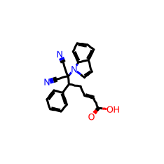 N#CC(C#N)(C(C/C=C/C(=O)O)c1ccccc1)n1ccc2ccccc21